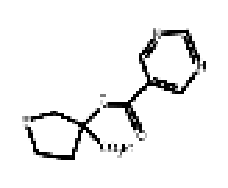 CCOC(=O)C1(NC(=O)c2cncnc2)CCSC1